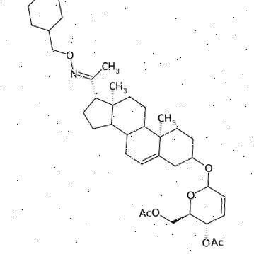 CC(=O)OC[C@H]1OC(OC2CC[C@@]3(C)C(=CCC4C3CC[C@@]3(C)C4CC[C@@H]3/C(C)=N/OCC3CCCCC3)C2)C=C[C@@H]1OC(C)=O